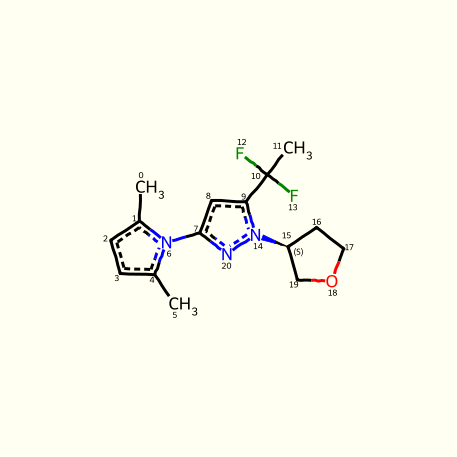 Cc1ccc(C)n1-c1cc(C(C)(F)F)n([C@H]2CCOC2)n1